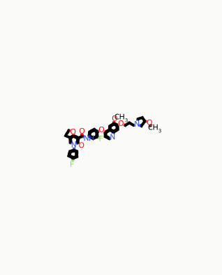 COc1cc2c(Oc3ccc(NC(=O)c4c5c(cn(-c6ccc(F)cc6)c4=O)CCO5)cc3F)ccnc2cc1OCCCN1CCC(OC)C1